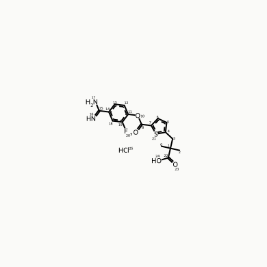 CC(C)(Cc1ccc(C(=O)Oc2ccc(C(=N)N)cc2F)s1)C(=O)O.Cl